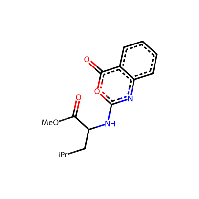 COC(=O)C(CC(C)C)Nc1nc2ccccc2c(=O)o1